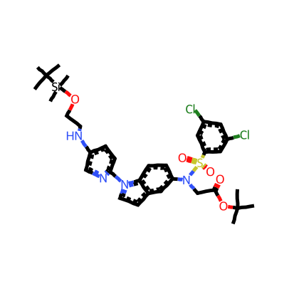 CC(C)(C)OC(=O)CN(c1ccc2c(ccn2-c2ccc(NCCO[Si](C)(C)C(C)(C)C)cn2)c1)S(=O)(=O)c1cc(Cl)cc(Cl)c1